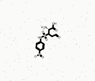 N[C@H](C(=O)O)C(CC=O)S(=O)(=O)Nc1ccc([N+](=O)[O-])cc1